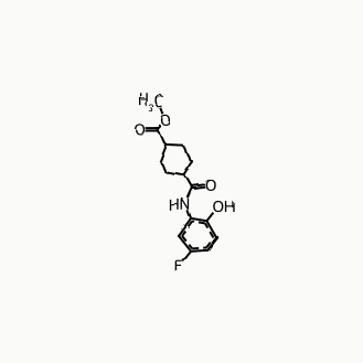 COC(=O)C1CCC(C(=O)Nc2cc(F)ccc2O)CC1